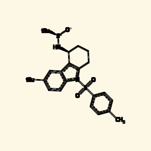 Cc1ccc(S(=O)(=O)n2c3c(c4cc(C(C)(C)C)ccc42)[C@@H](N[S@+]([O-])C(C)(C)C)CCC3)cc1